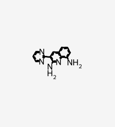 Nc1nc2c(N)cccc2cc1-c1ncccn1